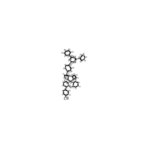 N#Cc1ccc(-c2cccc3c2Sc2ccccc2C32c3ccccc3-c3c(-c4ccc(-c5nc(-c6ccccc6)nc(-c6ccccc6)n5)cc4)cccc32)cc1